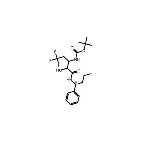 CCC[C@H](NC(=O)C(O)C(CC(F)(F)F)NC(=O)OC(C)(C)C)c1ccccc1